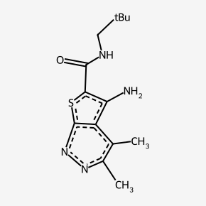 Cc1nnc2sc(C(=O)NCC(C)(C)C)c(N)c2c1C